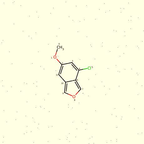 COc1cc(Cl)c2[c]occ2c1